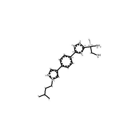 CC(C)CCn1cc(-c2ccc(-c3nnc([C@@](C)(N)CO)s3)cc2)cn1